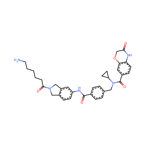 NCCCCCC(=O)N1Cc2ccc(NC(=O)c3ccc(CN(C(=O)c4ccc5c(c4)OCC(=O)N5)C4CC4)cc3)cc2C1